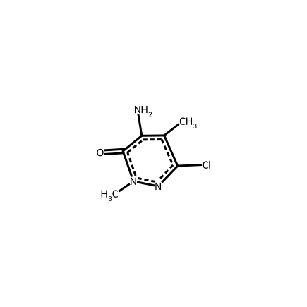 Cc1c(Cl)nn(C)c(=O)c1N